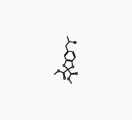 COC(=O)C1(C(=O)OC)Oc2ccc(CC(C)Br)cc2O1